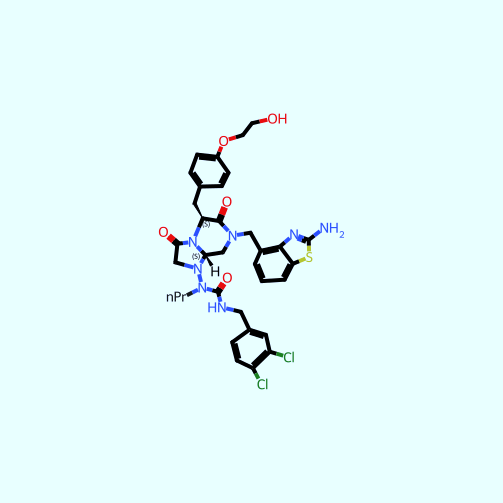 CCCN(C(=O)NCc1ccc(Cl)c(Cl)c1)N1CC(=O)N2[C@@H](Cc3ccc(OCCO)cc3)C(=O)N(Cc3cccc4sc(N)nc34)C[C@@H]21